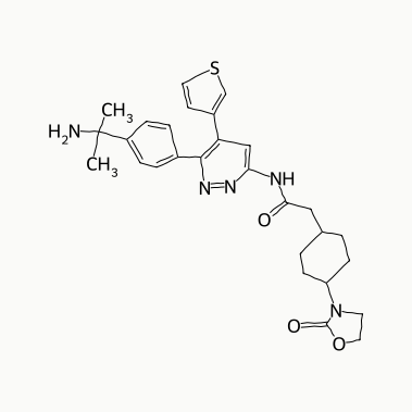 CC(C)(N)c1ccc(-c2nnc(NC(=O)CC3CCC(N4CCOC4=O)CC3)cc2-c2ccsc2)cc1